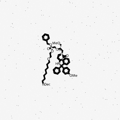 CCCCCCCCCCCCCCCCCCOCCOP(=O)(CO[C@H](COC)Cn1ccc(NC(c2ccccc2)(c2ccccc2)c2ccc(OC)cc2)nc1=O)OCc1ccccc1